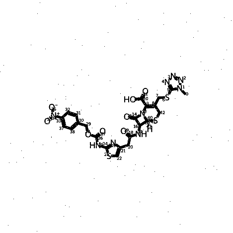 Cn1nnnc1SCC1=C(C(=O)O)N2C(=O)C(NC(=O)Cc3csc(NC(=O)OCc4ccc([N+](=O)[O-])cc4)n3)[C@@H]2SC1